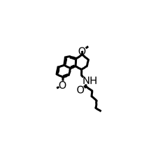 CCCCCC(=O)NCC1CCC(OC)c2ccc3ccc(OC)cc3c21